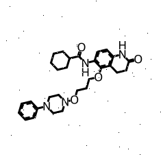 O=C1CCc2c(ccc(NC(=O)C3CCCCC3)c2OCCCON2CCN(c3ccccc3)CC2)N1